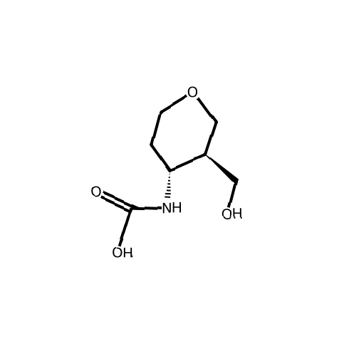 O=C(O)N[C@@H]1CCOC[C@H]1CO